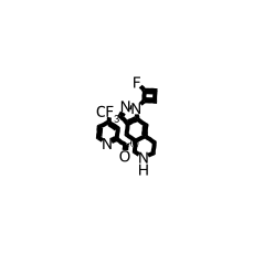 O=C(c1cc(C(F)(F)F)ccn1)[C@@]12CNCCC1=Cc1c(cnn1C1=CC=C1F)C2